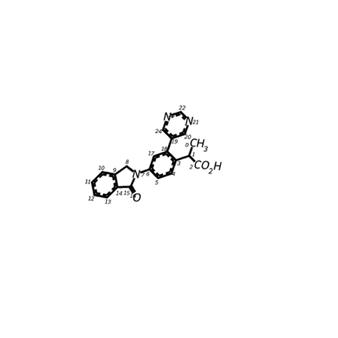 CC(C(=O)O)c1ccc(N2Cc3ccccc3C2=O)cc1-c1cncnc1